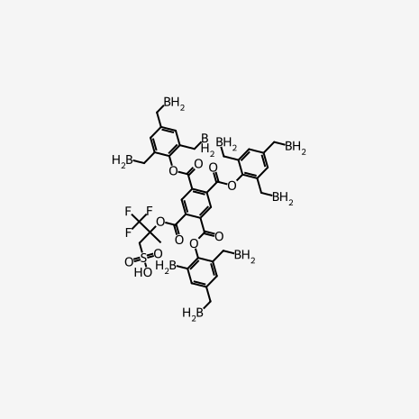 BCc1cc(B)c(OC(=O)c2cc(C(=O)Oc3c(CB)cc(CB)cc3CB)c(C(=O)Oc3c(CB)cc(CB)cc3CB)cc2C(=O)OC(C)(CS(=O)(=O)O)C(F)(F)F)c(CB)c1